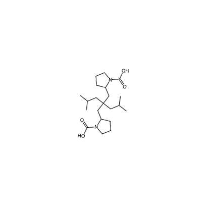 CC(C)CC(CC(C)C)(CC1CCCN1C(=O)O)CC1CCCN1C(=O)O